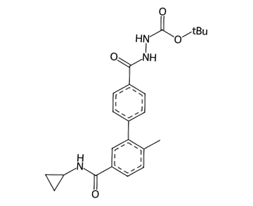 Cc1ccc(C(=O)NC2CC2)cc1-c1ccc(C(=O)NNC(=O)OC(C)(C)C)cc1